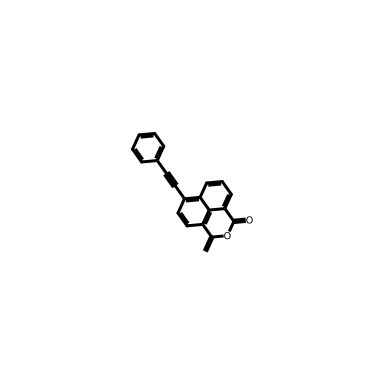 C=c1oc(=O)c2cccc3c(C#Cc4ccccc4)ccc1c32